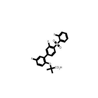 CC(C)(Oc1ccc(F)cc1-c1ccc(S(=O)(=O)c2ccccc2F)c(F)c1)C(=O)O